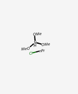 CCCCl.CO[SiH](OC)OC